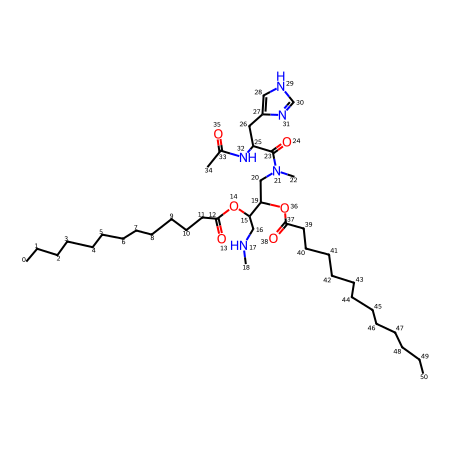 CCCCCCCCCCCCC(=O)OC(CNC)C(CN(C)C(=O)C(Cc1c[nH]cn1)NC(C)=O)OC(=O)CCCCCCCCCCCC